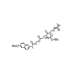 COc1ccc2cc(C(C)C(=O)OCOC(=O)CCC(NC(=O)OC(C)(C)C)C(=O)OCO/N=[N+](\[O-])N(C)C)ccc2c1